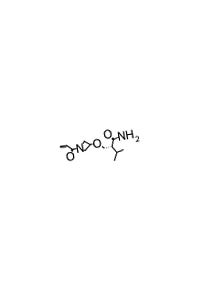 C=CC(=O)N1CC(OC[C@H](C(N)=O)C(C)C)C1